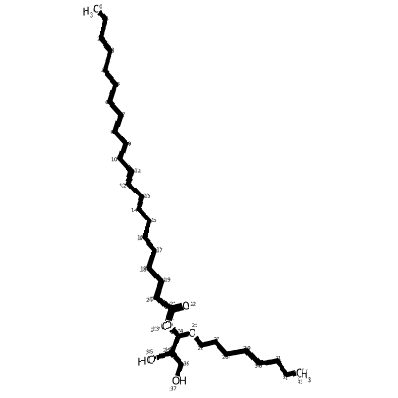 CCCCCCCCCCCCCCCCCCCCCC(=O)OC(OCCCCCCCC)C(O)CO